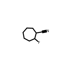 N#CC1CCCCC[C]1F